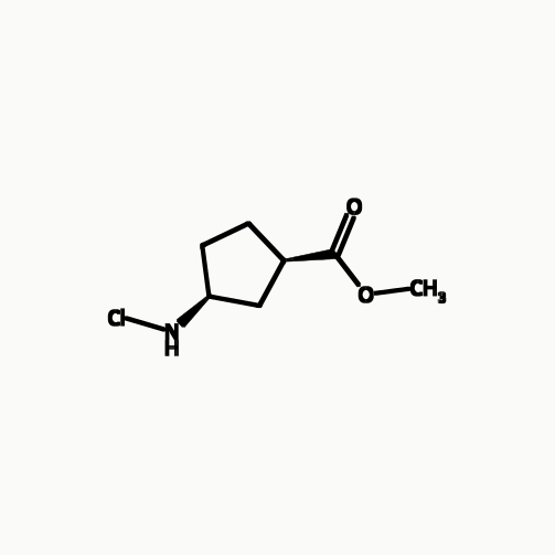 COC(=O)[C@@H]1CC[C@H](NCl)C1